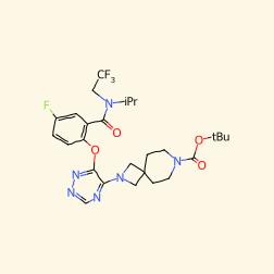 CC(C)N(CC(F)(F)F)C(=O)c1cc(F)ccc1Oc1nncnc1N1CC2(CCN(C(=O)OC(C)(C)C)CC2)C1